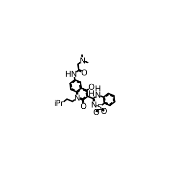 CC(C)CCn1c(=O)c(C2=NS(=O)(=O)c3ccccc3N2)c(O)c2cc(NC(=O)CN(C)C)ccc21